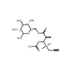 C#CC[N+](C)(C)C(OC(=O)C(F)(F)F)C(=C)C(=O)OC[C@H]1OC(OC(C)=O)[C@H](OC(C)=O)[C@@H](OC(C)=O)[C@@H]1OC(C)=O